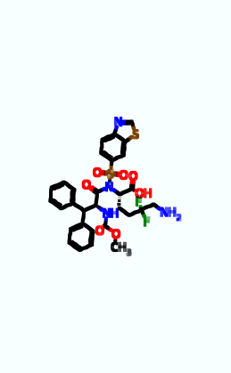 COC(=O)N[C@H](C(=O)N([C@@H](CCC(F)(F)CN)C(=O)O)S(=O)(=O)c1ccc2ncsc2c1)C(c1ccccc1)c1ccccc1